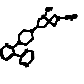 CCOC(=O)N1CC2(CC(N3CCN(c4ncccc4-c4cnccn4)CC3)C[C@@H]2O)C1